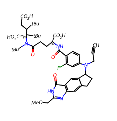 C#CCN(c1ccc(C(=O)N[C@@H](CCC(=O)N(C(C)(C)C)[C@@](C(=O)O)(C(CC(=O)O)C(C)(C)C)C(C)(C)C)C(=O)O)c(F)c1)C1CCc2cc3nc(COC)[nH]c(=O)c3cc21